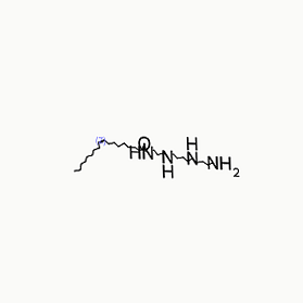 CCCCCCCC/C=C\CCCCCCCC(=O)NCCCNCCCCNCCCN